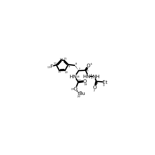 CCC(=O)NNC(=O)[C@@H](Cc1ccc(F)cc1)NC(=O)OC(C)(C)C